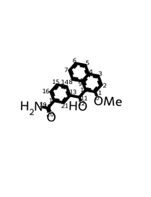 COc1ccc2ccccc2c1C(O)c1cccc(C(N)=O)c1